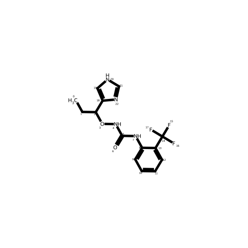 CCC(ONC(=O)Nc1ccccc1C(F)(F)F)c1c[nH]cn1